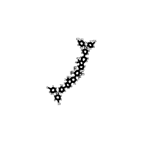 Cc1ccc(N(c2ccc(C)cc2)c2ccc(-c3ccc4c(c3)C(C)(C)c3cc(-c5c(F)c(F)c(-c6ccc7c(c6)C(C)(C)c6cc(-c8ccc(N(c9ccc(C)cc9)c9ccc(C)cc9)cc8)ccc6-7)c(F)c5F)ccc3-4)cc2)cc1